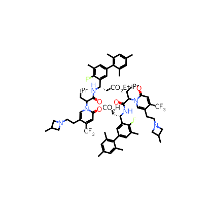 CCOC(=O)C[C@H](NC(=O)C(CC(C)C)n1cc(CCN2CC(C)C2)c(C(F)(F)F)cc1=O)c1cc(-c2c(C)cc(C)cc2C)cc(C)c1F.Cc1cc(C)c(-c2cc(C)c(F)c([C@H](CC(=O)O)NC(=O)C(CC(C)C)n3cc(CCN4CC(C)C4)c(C(F)(F)F)cc3=O)c2)c(C)c1